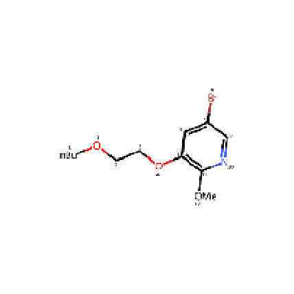 CCCCOCCOc1cc(Br)cnc1OC